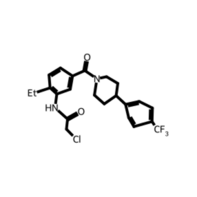 CCc1ccc(C(=O)N2CCC(c3ccc(C(F)(F)F)cc3)CC2)cc1NC(=O)CCl